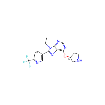 CCn1c(-c2ccc(C(F)(F)F)nc2)nc2c(O[C@H]3CCNC3)ncnc21